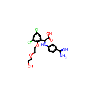 N=C(N)c1ccc(NC(C(=O)O)c2cc(Cl)cc(Cl)c2OCCOCCO)cc1